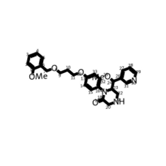 COc1ccccc1COCCCOc1ccc(N2C(=O)CNCC2C(OC)c2cccnc2)cc1